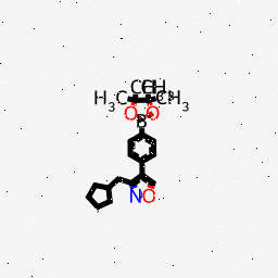 CC1(C)OB(c2ccc(-c3conc3CC3C[CH]CC3)cc2)OC1(C)C